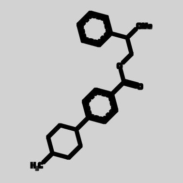 COC(COC(=O)c1ccc(C2CCC(C)CC2)cc1)c1ccccc1